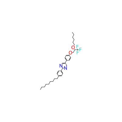 CCCCCCCCCc1ccc(-c2ncc(-c3ccc(OCC(OCCCCCC)C(F)(F)F)cc3)cn2)cc1